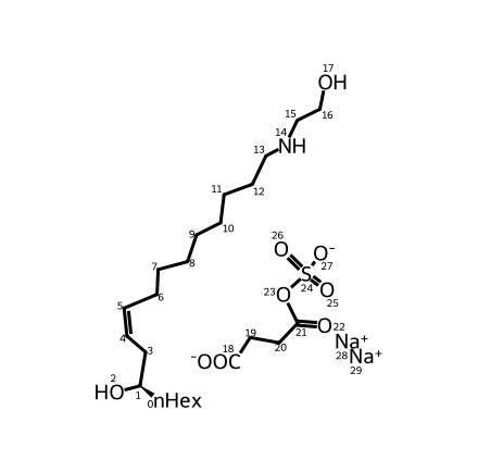 CCCCCC[C@@H](O)C/C=C\CCCCCCCCNCCO.O=C([O-])CCC(=O)OS(=O)(=O)[O-].[Na+].[Na+]